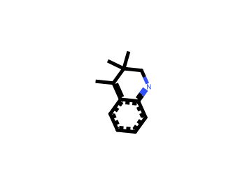 CC1=c2ccccc2=NCC1(C)C